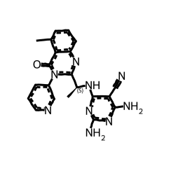 Cc1cccc2nc([C@H](C)Nc3nc(N)nc(N)c3C#N)n(-c3cccnc3)c(=O)c12